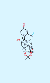 CC1(C)O[C@@H]2C[C@H]3[C@@H]4C[C@H](F)C5=CC(=O)CC[C@]5(C)[C@H]4[C@@H](O)C[C@]3(C)[C@]2(C2(C#N)CO2)O1